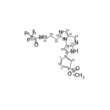 CS(=O)(=O)c1cccc(-c2cc3c(ncc4cnc(CCCNC(=O)C(F)(F)F)n43)[nH]2)c1